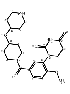 COc1ccc(C(=O)N2CCC(OC3CCNCC3)CC2)cc1N1CCC(=O)NC1=O